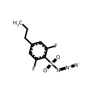 CCCc1cc(F)c(S(=O)(=O)N=[N+]=[N-])c(F)c1